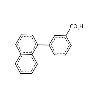 O=C(O)c1cccc(-c2cccc3ccccc23)c1